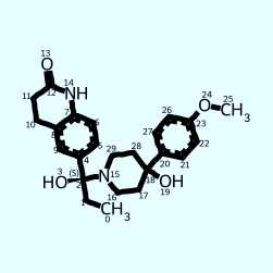 CC[C@](O)(c1ccc2c(c1)CCC(=O)N2)N1CCC(O)(c2ccc(OC)cc2)CC1